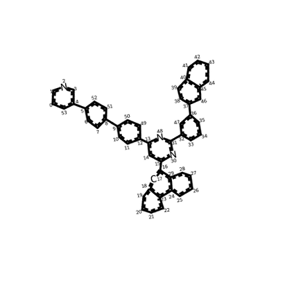 c1cncc(-c2ccc(-c3ccc(-c4cc(-c5cc6ccccc6c6ccccc56)nc(-c5cccc(-c6ccc7ccccc7c6)c5)n4)cc3)cc2)c1